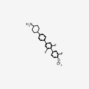 NC1CCC(c2ccc(-c3cc(F)c(-c4ccc(OC(F)(F)F)c(F)c4)c(F)c3)cc2)CC1